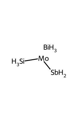 [BiH3].[SiH3][Mo][SbH2]